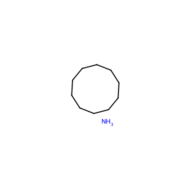 C1CCCCCCCCC1.N